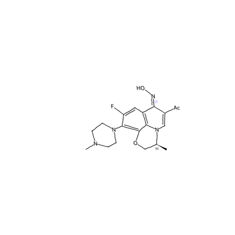 CC(=O)c1cn2c3c(c(N4CCN(C)CC4)c(F)cc3/c1=N\O)OC[C@@H]2C